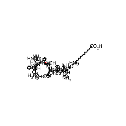 CCCC[C@H](NC(=O)[C@@H]1CCCN1C(=O)[C@H](CC(N)=O)NC(=O)[C@H](CC(N)=O)NC(=O)COCCOCCNC(=O)CCCCCCCCCCCCCCC(=O)O)C(=O)N[C@H]1CCC(=O)NCCCC[C@@H](C(N)=O)NC(=O)[C@H](Cc2c[nH]c3ccccc23)NC(=O)[C@H](CCCNC(=N)N)NC(=O)[C@@H](Cc2ccccc2)NC(=O)[C@@H]2C[C@@H](O)CN2C1=O